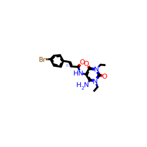 CCn1c(N)c(NC(=O)/C=C/c2ccc(Br)cc2)c(=O)n(CC)c1=O